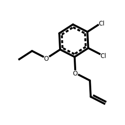 C=CCOc1c(OCC)ccc(Cl)c1Cl